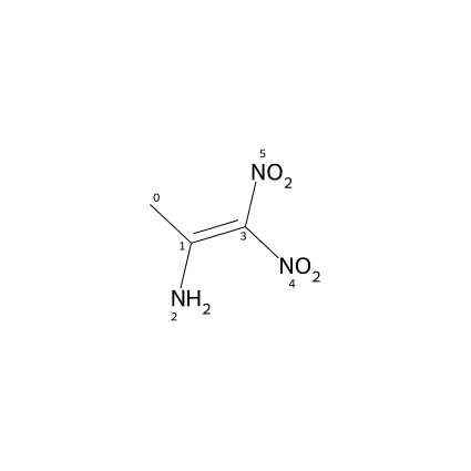 CC(N)=C([N+](=O)[O-])[N+](=O)[O-]